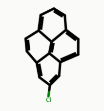 Clc1cc2ccc3cccc4ccc(c1)c2c34